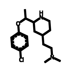 CC(Oc1ccc(Cl)cc1)C1CC(CCN(C)C)CCN1